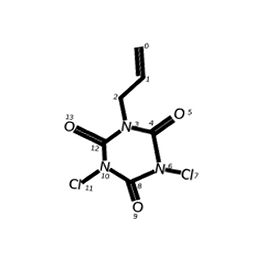 C=CCn1c(=O)n(Cl)c(=O)n(Cl)c1=O